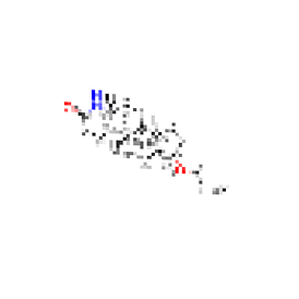 CC(C)CCO[C@H]1CC[C@H]2[C@@H]3CC[C@H]4NC(=O)CC[C@]4(C)[C@H]3CC[C@]12C